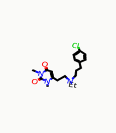 CCN(CCCc1ccc(Cl)cc1)CCc1cc(=O)n(C)c(=O)n1C